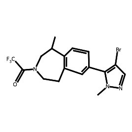 CC1CN(C(=O)C(F)(F)F)CCc2cc(-c3c(Br)cnn3C)ccc21